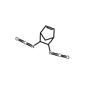 O=C=NC1C2C=CC(C2)C1N=C=O